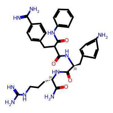 N=C(N)NCCC[C@H](NC(=O)[C@H](Cc1ccc(N)cc1)NC(=O)C(Cc1ccc(C(=N)N)cc1)C(=O)Nc1ccccc1)C(N)=O